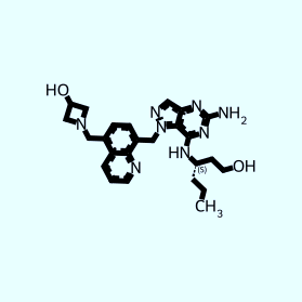 CCC[C@@H](CCO)Nc1nc(N)nc2cnn(Cc3ccc(CN4CC(O)C4)c4cccnc34)c12